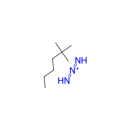 CCCCC(C)(C)C.N=[N+]=N